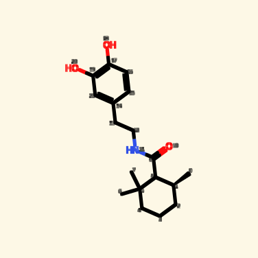 C[C@H]1CCCC(C)(C)C1C(=O)NCCc1ccc(O)c(O)c1